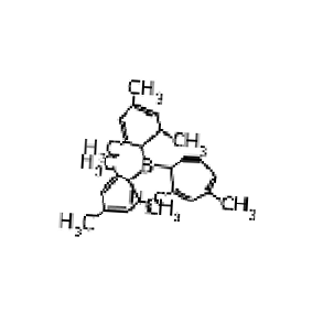 CC1=CC#CC(B(C2C(C)=CC(C)=CC2C)C2C(C)=CC(C)=CC2C)C(C)=C1